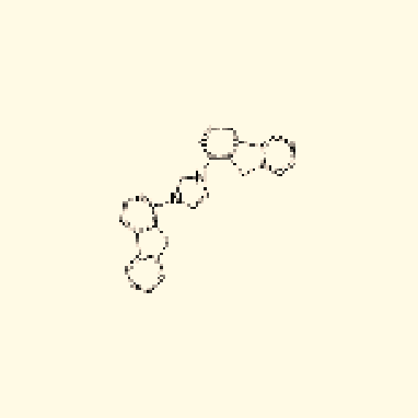 C1=CN(c2cccc3c2Cc2ccccc2-3)CN1c1cccc2c1Cc1ccccc1-2